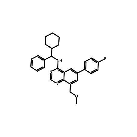 COCc1cc(-c2ccc(F)cc2)cc2c(NC(c3ccccc3)C3CCCCC3)ncnc12